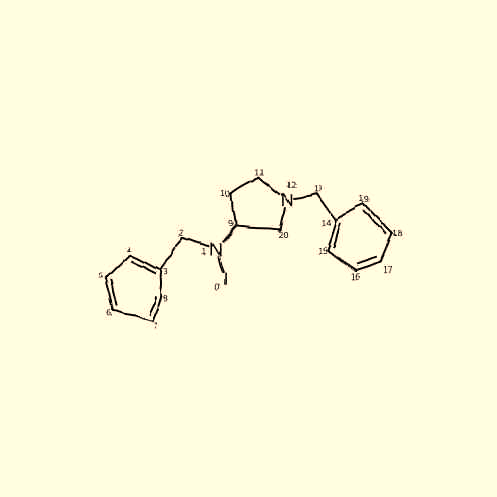 IN(Cc1ccccc1)C1CCN(Cc2ccccc2)C1